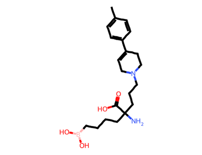 Cc1ccc(C2=CCN(CCCC(N)(CCCCB(O)O)C(=O)O)CC2)cc1